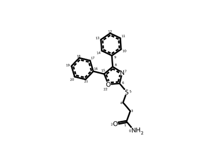 NC(=O)CCSc1nc(-c2ccccc2)c(-c2ccccc2)o1